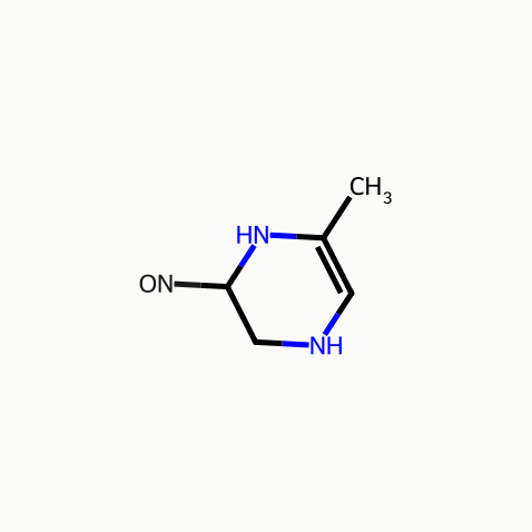 CC1=CNCC(N=O)N1